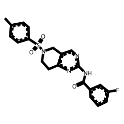 Cc1ccc(S(=O)(=O)N2CCc3nc(NC(=O)c4cccc(F)c4)ncc3C2)cc1